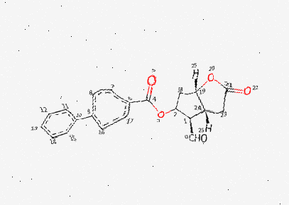 O=C[C@H]1C(OC(=O)c2ccc(-c3ccccc3)cc2)C[C@@H]2OC(=O)C[C@@H]21